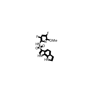 COc1nc(NS(=O)(=O)c2c[nH]c3c2ccc2cc[nH]c23)c(F)cc1F